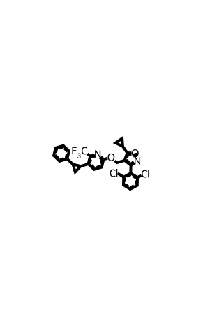 FC(F)(F)c1nc(OCc2c(-c3c(Cl)cccc3Cl)noc2C2CC2)ccc1C1CC1c1ccccc1